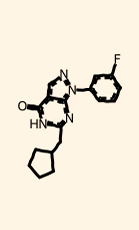 O=c1[nH]c(CC2CCCC2)nc2c1cnn2-c1cccc(F)c1